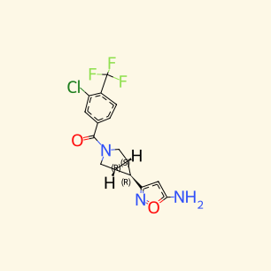 Nc1cc([C@H]2[C@@H]3CN(C(=O)c4ccc(C(F)(F)F)c(Cl)c4)C[C@@H]32)no1